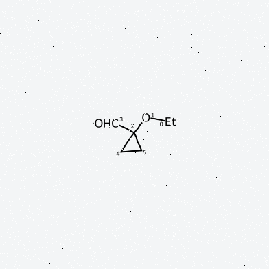 CCOC1([C]=O)CC1